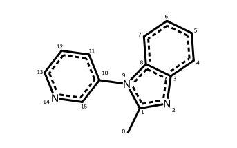 Cc1nc2ccccc2n1-c1cccnc1